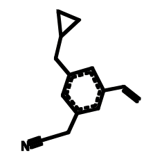 C=Cc1cc(CC#N)cc(CC2CC2)c1